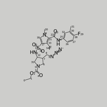 CCOC(=O)N1CC(CN=[N+]=[N-])C(NS(=O)(=O)c2cn(C)c(C(=O)Nc3ccc(F)c(C)c3)c2F)C1